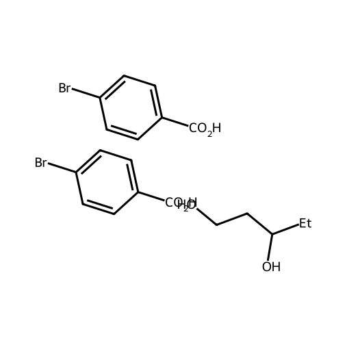 CCC(O)CCO.O=C(O)c1ccc(Br)cc1.O=C(O)c1ccc(Br)cc1